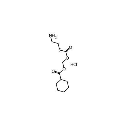 Cl.NCCSC(=O)OCOC(=O)C1CCCCC1